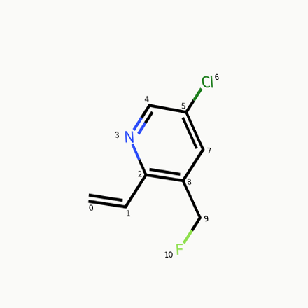 C=Cc1ncc(Cl)cc1CF